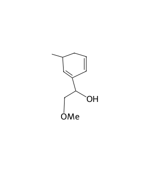 COCC(O)C1=CC(C)CC=C1